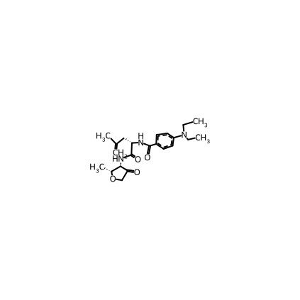 C=C(C)C[C@H](NC(=O)c1ccc(N(CC)CC)cc1)C(=O)N[C@@H]1C(=O)CO[C@@H]1C